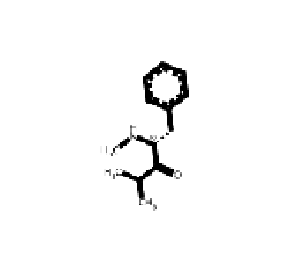 CN[C@H](Cc1ccccc1)C(=O)C(C)C